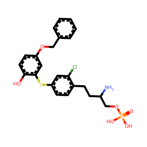 NC(CCc1ccc(Sc2cc(OCc3ccccc3)ccc2O)cc1Cl)COP(=O)(O)O